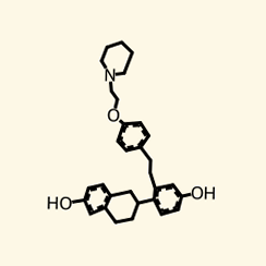 Oc1ccc2c(c1)CCC(c1ccc(O)cc1CCc1ccc(OCCN3CCCCC3)cc1)C2